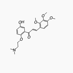 COc1ccc(C=CC(=O)c2cc(O)ccc2OCCN(C)C)c(OC)c1OC